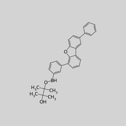 CC(C)(O)C(C)(C)OBc1cccc(-c2cccc3c2oc2ccc(-c4ccccc4)cc23)c1